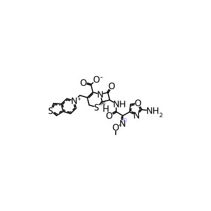 CO/N=C(\C(=O)NC1C(=O)N2C(C(=O)[O-])=C(C[n+]3ccc4cscc4c3)CS[C@H]12)c1coc(N)n1